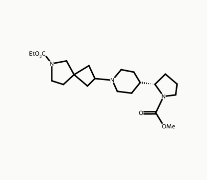 CCOC(=O)N1CCC2(CC(N3CCC([C@@H]4CCCN4C(=O)OC)CC3)C2)C1